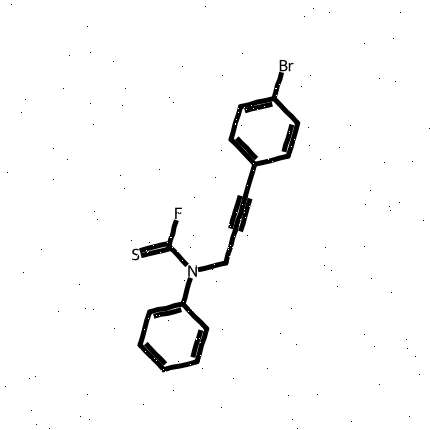 FC(=S)N(CC#Cc1ccc(Br)cc1)c1ccccc1